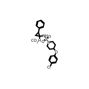 O=C(O)C1(NS(=O)(=O)N2CCC(Oc3ccc(Cl)cc3)CC2)CC1c1ccccc1